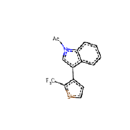 CC(=O)n1cc(-c2ccsc2C(F)(F)F)c2ccccc21